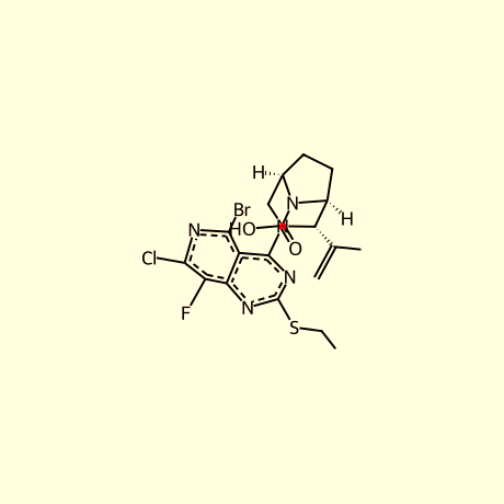 C=C(C)[C@H]1[C@@H]2CC[C@H](CN1c1nc(SCC)nc3c(F)c(Cl)nc(Br)c13)N2C(=O)O